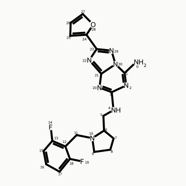 Nc1nc(NCC2CCCN2Cc2c(F)cccc2F)nc2nc(-c3ccco3)nn12